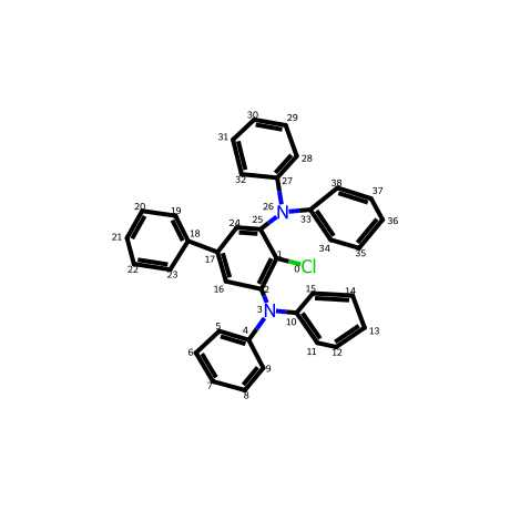 Clc1c(N(c2ccccc2)c2ccccc2)cc(-c2ccccc2)cc1N(c1ccccc1)c1ccccc1